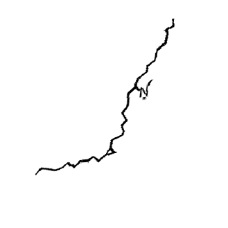 CCCCCCCCCC1CC1CCCCCCCC(CCCCCCCCC)N(C)C